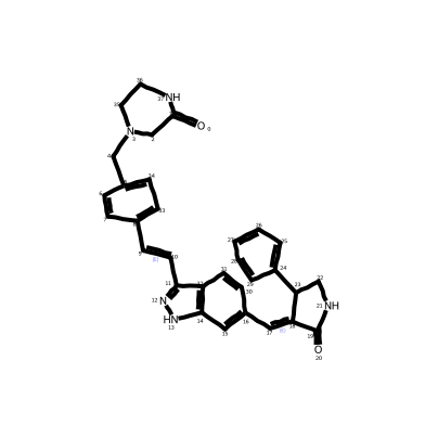 O=C1CN(Cc2ccc(/C=C/c3n[nH]c4cc(/C=C5/C(=O)NCC5c5ccccc5)ccc34)cc2)CCN1